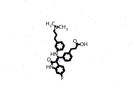 CN(C)CCCc1cccc(N/C(=C2\C(=O)Nc3cc(F)ccc32)c2cccc(CCC(=O)O)c2)c1